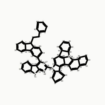 c1ccc(CCC2c3ccccc3-c3cc(-c4nc(-n5c6ccccc6c6c7c8ccc9ccccc9c8n8c9ccccc9c(cc65)c78)nc5sc6ccccc6c45)ccc32)cc1